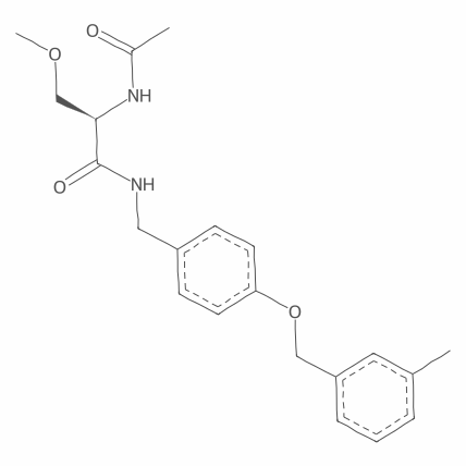 COC[C@@H](NC(C)=O)C(=O)NCc1ccc(OCc2cccc(C)c2)cc1